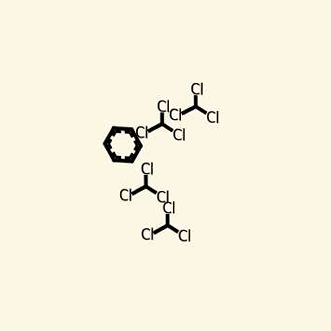 ClC(Cl)Cl.ClC(Cl)Cl.ClC(Cl)Cl.ClC(Cl)Cl.c1ccccc1